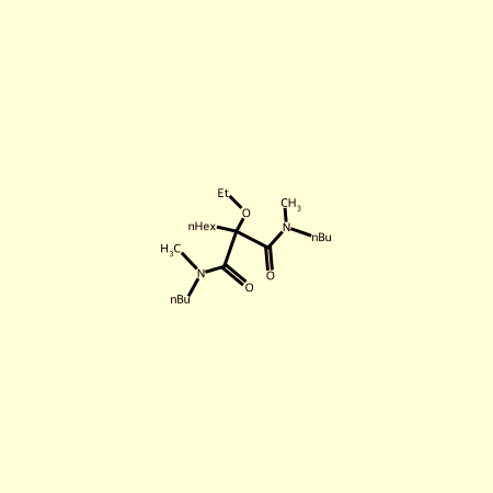 CCCCCCC(OCC)(C(=O)N(C)CCCC)C(=O)N(C)CCCC